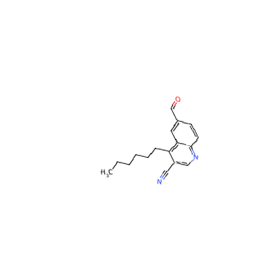 CCCCCCc1c(C#N)cnc2ccc(C=O)cc12